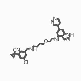 N#CC1(c2cc(Cl)cc(CNCCCCOCCNc3cc(-c4ccnnc4)cc4[nH]ncc34)c2)CC1